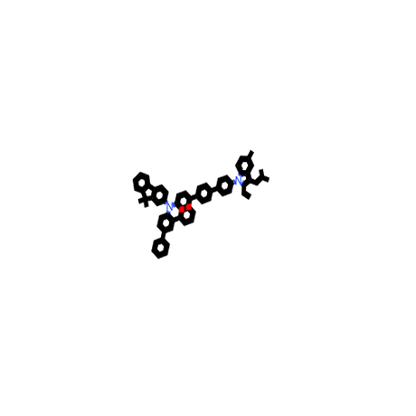 C=Cc1c(C=C(C)C)c2cc(C)ccc2n1-c1ccc(-c2ccc(-c3ccc(N(c4ccc5c(c4)C(C)(C)c4ccccc4-5)c4ccc(-c5ccccc5)cc4-c4ccccc4)cc3)cc2)cc1